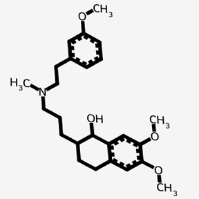 COc1cccc(CCN(C)CCCC2CCc3cc(OC)c(OC)cc3C2O)c1